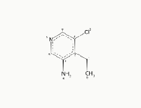 CCc1c(N)cncc1Cl